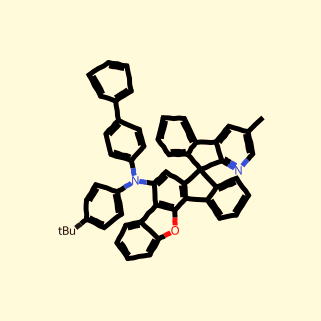 Cc1cnc2c(c1)-c1ccccc1C21c2ccccc2-c2c1cc(N(c1ccc(-c3ccccc3)cc1)c1ccc(C(C)(C)C)cc1)c1c2oc2ccccc21